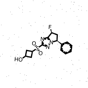 O=S(=O)(c1nc2n(n1)[C@H](c1ccccc1)C[C@@H]2F)C1CC(O)C1